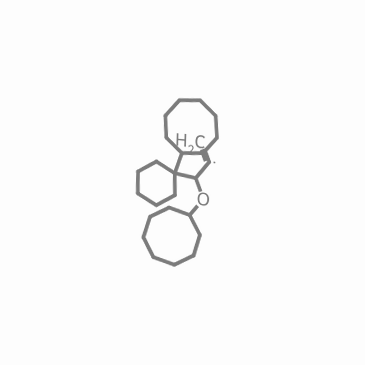 C=[C]C(OC1CCCCCCC1)C1(C2CCCCCCC2)CCCCC1